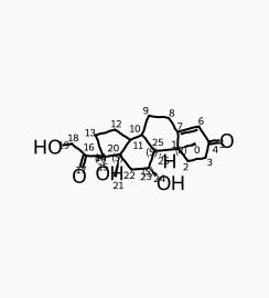 C[C@]12CCC(=O)C=C1CCC1C3CC[C@](O)(C(=O)CO)[C@@]3(C)C[C@H](O)[C@@H]12